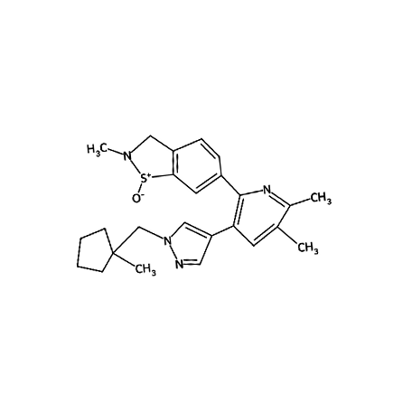 Cc1cc(-c2cnn(CC3(C)CCCC3)c2)c(-c2ccc3c(c2)[S+]([O-])N(C)C3)nc1C